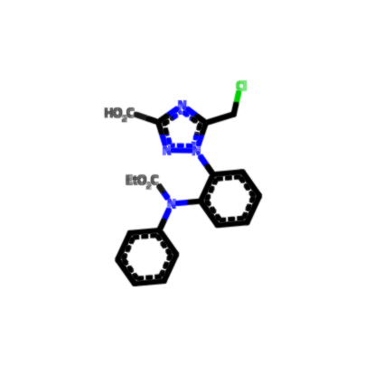 CCOC(=O)N(c1ccccc1)c1ccccc1-n1nc(C(=O)O)nc1CCl